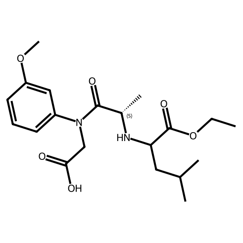 CCOC(=O)C(CC(C)C)N[C@@H](C)C(=O)N(CC(=O)O)c1cccc(OC)c1